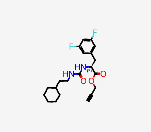 C#CCOC(=O)[C@H](Cc1cc(F)cc(F)c1)NC(=O)NCCC1CCCCC1